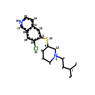 CC(C)CCN1CCCC(Sc2cc3ccncc3cc2Cl)C1